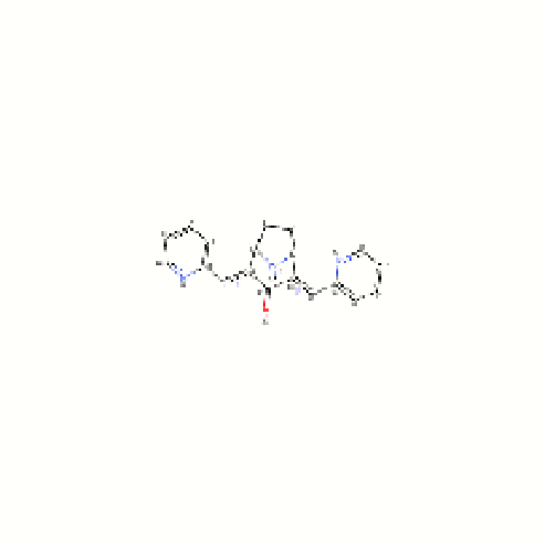 CN1C2CCC1/C(=C\c1ccccn1)C(=O)/C2=C/c1ccccn1